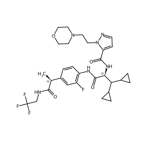 C[C@H](C(=O)NCC(F)(F)F)c1ccc(NC(=O)[C@@H](NC(=O)c2ccnn2CCN2CCOCC2)C(C2CC2)C2CC2)c(F)c1